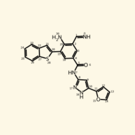 N=Cc1cc(C(=O)Nc2cc(-c3ccco3)[nH]n2)cc(-c2cc3ccccc3s2)c1N